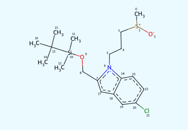 C[S+]([O-])CCCn1c(CO[Si](C)(C)C(C)(C)C)cc2cc(Cl)ccc21